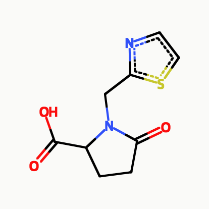 O=C(O)C1CCC(=O)N1Cc1nccs1